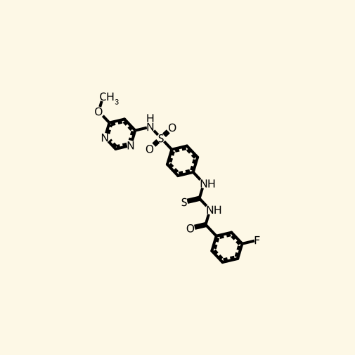 COc1cc(NS(=O)(=O)c2ccc(NC(=S)NC(=O)c3cccc(F)c3)cc2)ncn1